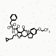 O=C1N[C@@]2(CCc3cc(OCC(F)(F)F)ccc32)Cc2nn(CCC3CC3)c(C(=O)NS(=O)(=O)Cc3ccccc3)c21